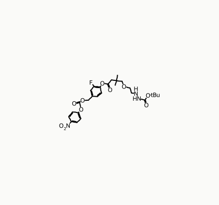 CC(C)(COCCNNC(=O)OC(C)(C)C)CC(=O)Oc1ccc(COC(=O)Oc2ccc([N+](=O)[O-])cc2)cc1F